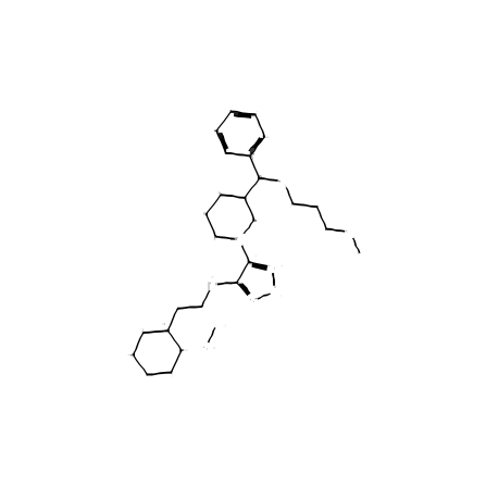 COCCCOC(c1ccccc1)C1CCCN(c2nsnc2N[C@H](CN)CC2CCCCC2)C1